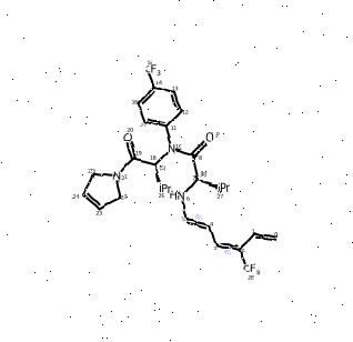 C=C/C(=C\C=C\N[C@@H](C(=O)N(c1ccc(C(F)(F)F)cc1)[C@H](C(=O)N1CC=CC1)C(C)C)C(C)C)C(F)(F)F